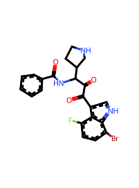 O=C(NC(C(=O)C(=O)c1c[nH]c2c(Br)ccc(F)c12)C1CCNC1)c1ccccc1